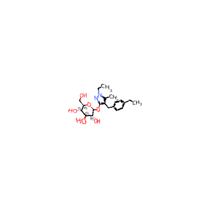 CCc1ccc(Cc2c(OC3O[C@H](CO)[C@@H](O)[C@H](O)[C@H]3O)nn(CC)c2C)cc1